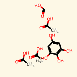 CC(=O)O.CC(=O)O.CC(=O)O.O=CO.Oc1cc(O)c(O)c(O)c1